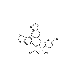 N#Cc1ccc(C2(O)OC(=O)C(c3ccc4c(c3)OCO4)=C2Cc2ccc3nsnc3c2)cc1